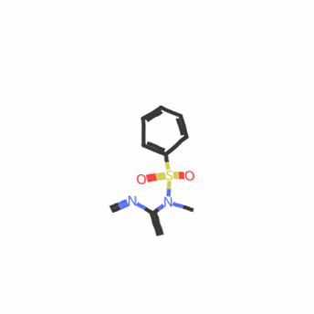 C=NC(=C)N(C)S(=O)(=O)c1ccccc1